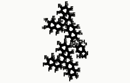 Cc1cc2nc[nH]c2cc1C.Fc1c(F)c(F)c2c(F)[c]([Al]([c]3c(F)c(F)c4c(F)c(F)c(F)c(F)c4c3F)[c]3c(F)c(F)c4c(F)c(F)c(F)c(F)c4c3F)c(F)c(F)c2c1F.Fc1c(F)c(F)c2c(F)[c]([Al]([c]3c(F)c(F)c4c(F)c(F)c(F)c(F)c4c3F)[c]3c(F)c(F)c4c(F)c(F)c(F)c(F)c4c3F)c(F)c(F)c2c1F